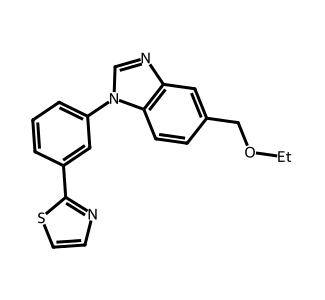 CCOCc1ccc2c(c1)ncn2-c1cccc(-c2nccs2)c1